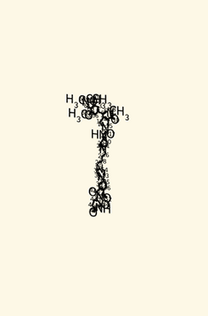 COc1cc(-c2cn(C)c(=O)c3c2CCN(C(=O)NC2CC4CC2CN4CCCCN2CCN(c4ccc5c(c4)C(=O)N(C4CCC(=O)NC4=O)C5=O)CC2)C3)cc(OC)c1CN(C)C